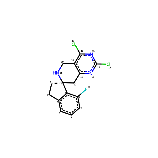 Fc1cccc2c1[C@]1(CC2)Cc2nc(Cl)nc(Cl)c2CN1